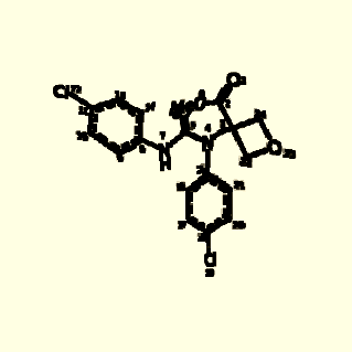 COC(=O)C1(N(C(=O)Nc2ccc(Cl)cc2)c2ccc(Cl)cc2)COC1